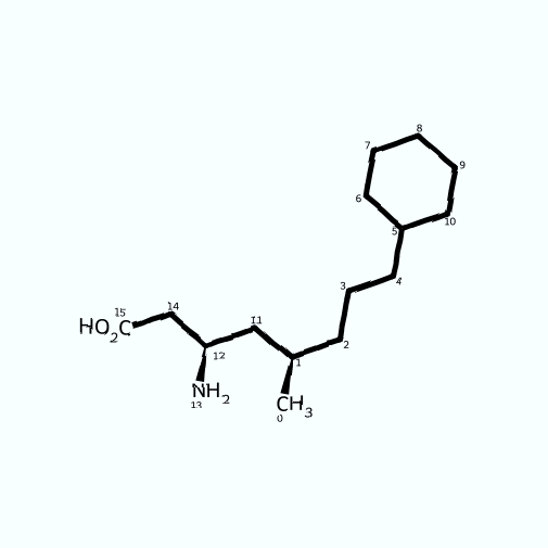 C[C@H](CCCC1CCCCC1)C[C@@H](N)CC(=O)O